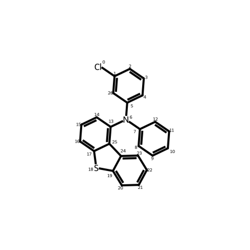 Clc1cccc(N(c2ccccc2)c2cccc3sc4ccccc4c23)c1